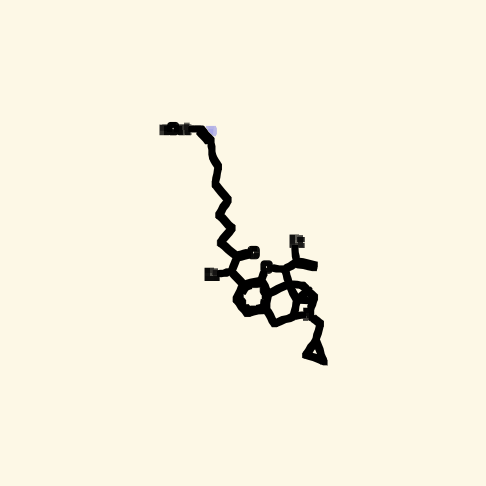 C=C(CC)C1Oc2c(C(CC)C(=O)CCCCCCC/C=C\CCCCCCCC)ccc3c2C12CCN(CC1CC1)C(C3)C2(C)C